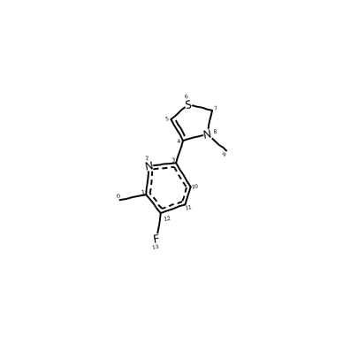 Cc1nc(C2=CSCN2C)ccc1F